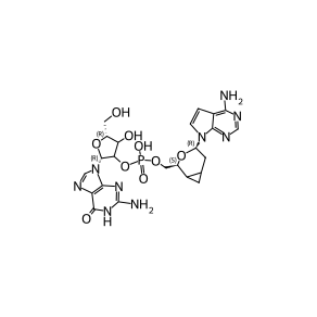 Nc1nc2c(ncn2[C@@H]2O[C@H](CO)C(O)C2OP(=O)(O)OC[C@H]2O[C@@H](n3ccc4c(N)ncnc43)CC3CC32)c(=O)[nH]1